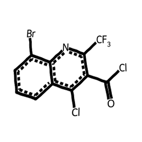 O=C(Cl)c1c(C(F)(F)F)nc2c(Br)cccc2c1Cl